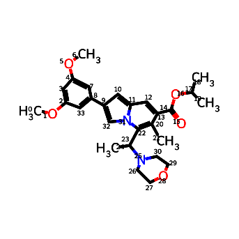 COc1cc(OC)cc(-c2cc3cc(C(=O)OC(C)C)c(C)c(C(C)N4CCOCC4)n3c2)c1